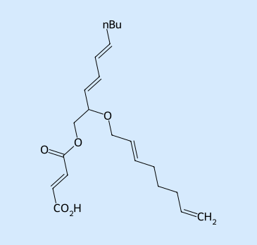 C=CCCCC=CCOC(C=CC=CCCCC)COC(=O)C=CC(=O)O